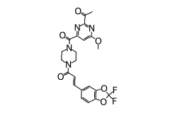 COc1cc(C(=O)N2CCN(C(=O)C=Cc3ccc4c(c3)OC(F)(F)O4)CC2)nc(C(C)=O)n1